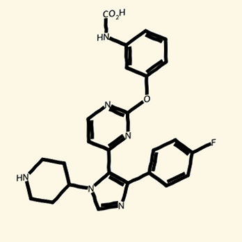 O=C(O)Nc1cccc(Oc2nccc(-c3c(-c4ccc(F)cc4)ncn3C3CCNCC3)n2)c1